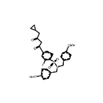 COc1ccc(CN(Cc2ccc(OC)cc2)S(=O)(=O)c2ccc(C(=O)CC(=O)CC3CC3)cc2F)cc1